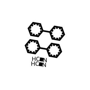 C#N.C#N.c1ccc(-c2ccccc2)cc1.c1ccc(-c2ccccc2)cc1